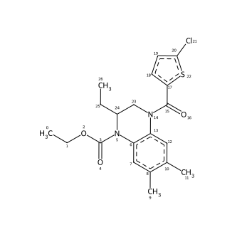 CCOC(=O)N1c2cc(C)c(C)cc2N(C(=O)c2ccc(Cl)s2)CC1CC